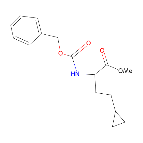 COC(=O)C(CCC1CC1)NC(=O)OCc1ccccc1